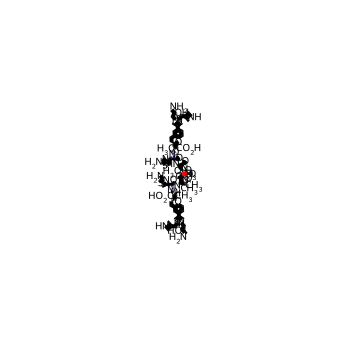 CC1(C)[C@H](NC(=O)/C(=N\O[C@](C)(C(=O)O)[C@H]2CCc3cc(-c4cn(C[C@@H](O)CN)[n+](CC5CNC5)c4)ccc3O2)c2csc(N)n2)C(=O)N1OS(=O)(=O)ON1C(=O)[C@@H](NC(=O)/C(=N\O[C@](C)(C(=O)O)[C@H]2CCc3cc(-c4cn(C[C@@H](O)CN)[n+](CC5CNC5)c4)ccc3O2)c2csc(N)n2)C1(C)C